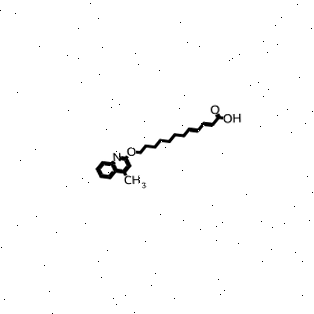 Cc1cc(OCCCCCCCC=CC=CC(=O)O)nc2ccccc12